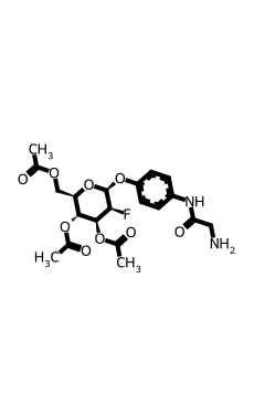 CC(=O)OC[C@H]1O[C@@H](Oc2ccc(NC(=O)CN)cc2)[C@@H](F)[C@@H](OC(C)=O)[C@@H]1OC(C)=O